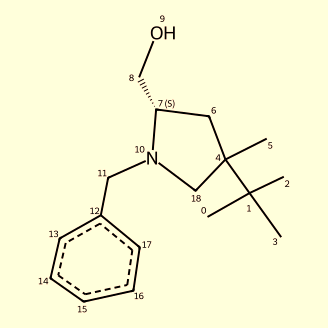 CC(C)(C)C1(C)C[C@@H](CO)N(Cc2ccccc2)C1